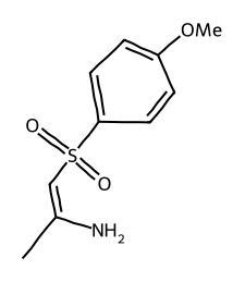 COc1ccc(S(=O)(=O)C=C(C)N)cc1